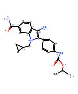 CC(C)OC(=O)Nc1ccc(-c2c(N)c3ccc(C(N)=O)cc3n2CC2CC2)cc1